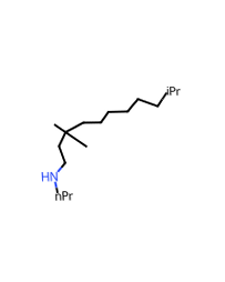 CCCNCCC(C)(C)CCCCCCC(C)C